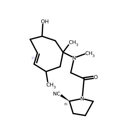 CC1/C=C/CC(O)CC(C)(N(C)CC(=O)N2CCC[C@H]2C#N)C1